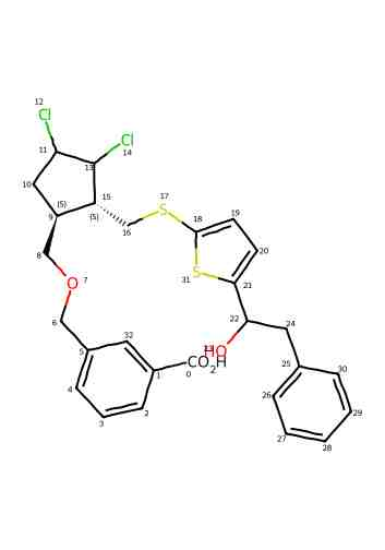 O=C(O)c1cccc(COC[C@H]2CC(Cl)C(Cl)[C@@H]2CSc2ccc(C(O)Cc3ccccc3)s2)c1